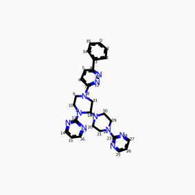 c1ccc(-c2ccc(N3CCN(c4ncccn4)C(N4CCN(c5ncccn5)CC4)C3)nn2)cc1